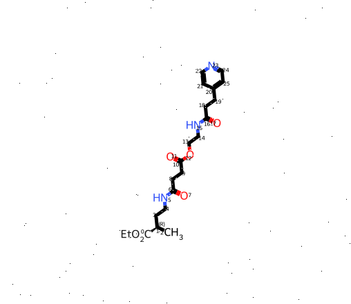 CCOC(=O)[C@H](C)CCNC(=O)CCC(=O)OCCNC(=O)CCc1ccncc1